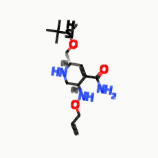 C=CCON[C@H]1CN[C@H](CO[SiH](C)C(C)(C)C)C=C1C(N)=O